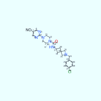 C[C@@H]1CN(c2ncc(C#N)cn2)CCN1C(=O)NC1CC2(C1)CN(Cc1ccc(Cl)cc1)C2